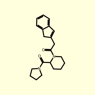 O=C(C1CCCCN1C(=O)CC1=Cc2ccccc2C1)N1CCCC1